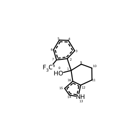 OC1(c2ccccc2C(F)(F)F)CCCc2[nH]ccc21